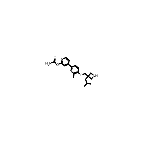 Cc1nc(-c2ccnc(OC(N)=O)c2)ccc1OCC1(CC(C)C)CNC1